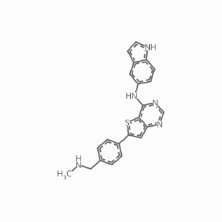 CNCc1ccc(-c2cc3ncnc(Nc4ccc5[nH]ccc5c4)c3s2)cc1